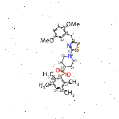 COc1ccc(OC)c(Cc2csc(N3CCC(S(=O)(=O)c4c(C)c(C)cc(C)c4C)CC3)n2)c1